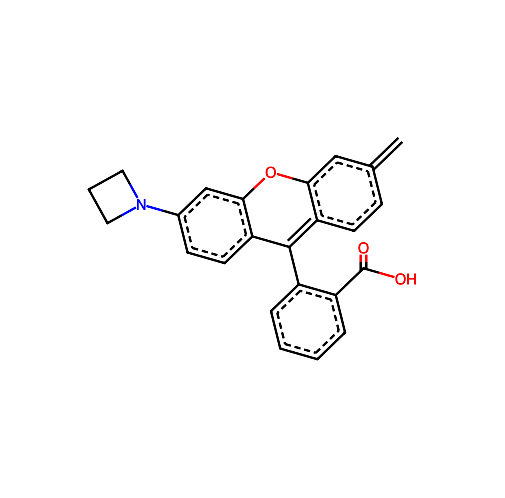 C=c1ccc2c(c1)Oc1cc(N3CCC3)ccc1C=2c1ccccc1C(=O)O